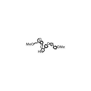 COCCCN1CCOc2ccc(COC3CNCCC3c3ccc(O[C@H]4CCN(c5cccc(OC)c5)C4)cc3)cc21